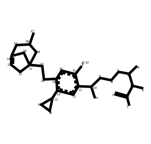 C=C(C)C(C)C(C)CCCC(C)c1cc(C2CC2)c(CCC23CC=C(CC(C)C2)C3)cc1F